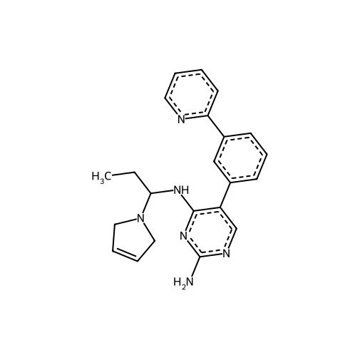 CCC(Nc1nc(N)ncc1-c1cccc(-c2ccccn2)c1)N1CC=CC1